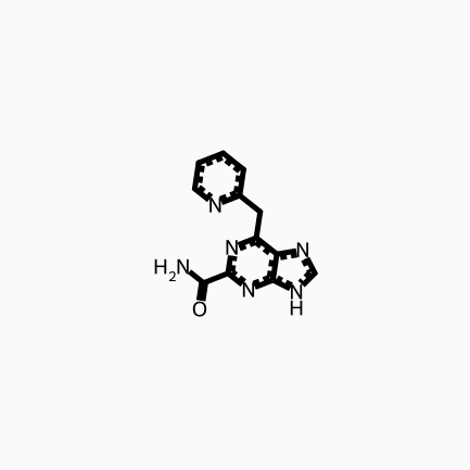 NC(=O)c1nc(Cc2ccccn2)c2nc[nH]c2n1